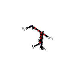 CCCCCC/C=C\COC(=O)CCCCCCCOCC(OCCCCCCCC(=O)OC/C=C\CCCCCC)C(=O)N(CCCCCCCC)CCOCCOCCOCCOCCOS(C)(=O)=O